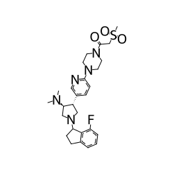 CN(C)[C@@H]1CN(C2CCc3cccc(F)c32)C[C@H]1c1ccc(N2CCN(C(=O)CS(C)(=O)=O)CC2)nc1